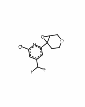 FC(F)c1cc(Cl)nc(C23CCOCC2O3)c1